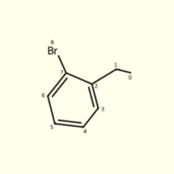 C[CH]c1ccccc1Br